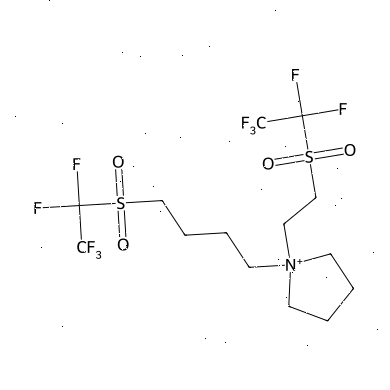 O=S(=O)(CCCC[N+]1(CCS(=O)(=O)C(F)(F)C(F)(F)F)CCCC1)C(F)(F)C(F)(F)F